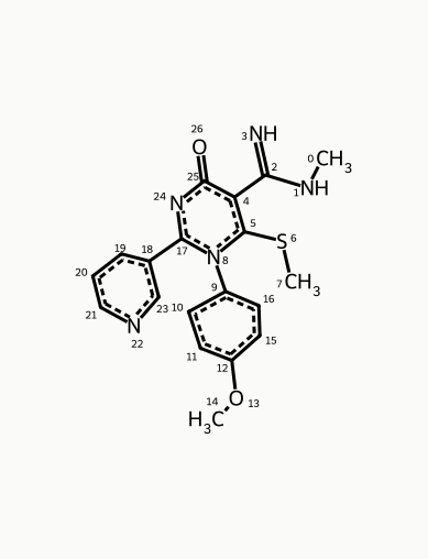 CNC(=N)c1c(SC)n(-c2ccc(OC)cc2)c(-c2cccnc2)nc1=O